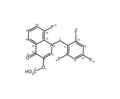 O=C(O)Oc1cn(Cc2c(F)cc(F)cc2F)c2c(F)cccc2c1=O